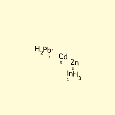 [Cd].[InH3].[PbH2].[Zn]